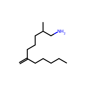 C=C(CCCCC)CCCC(C)CN